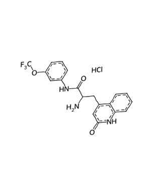 Cl.NC(Cc1cc(=O)[nH]c2ccccc12)C(=O)Nc1cccc(OC(F)(F)F)c1